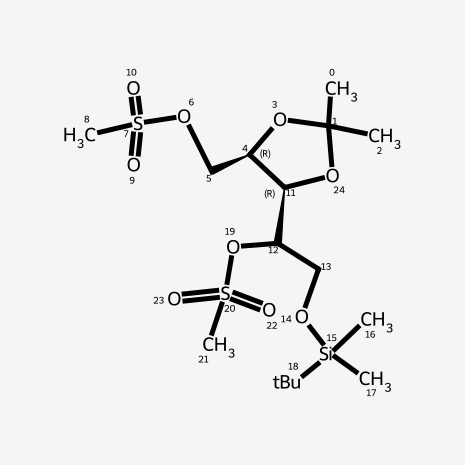 CC1(C)O[C@H](COS(C)(=O)=O)[C@H](C(CO[Si](C)(C)C(C)(C)C)OS(C)(=O)=O)O1